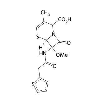 COC1(NC(=O)Cc2cccs2)C(=O)N2C(C(=O)O)C(C)=CS[C@@H]21